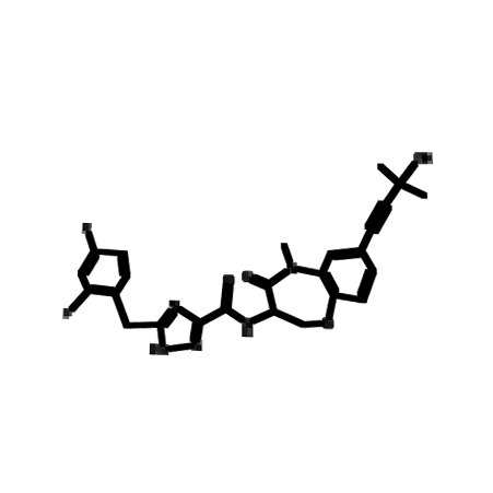 CN1C(=O)C(NC(=O)c2n[nH]c(Cc3ccc(F)cc3F)n2)COc2ccc(C#CC(C)(C)O)cc21